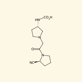 N#C[C@@H]1CCCN1C(=O)CN1CC[C@H](NC(=O)O)C1